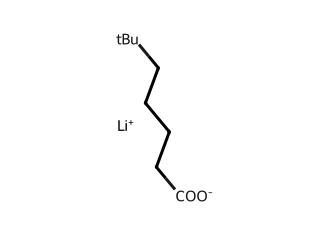 CC(C)(C)CCCCC(=O)[O-].[Li+]